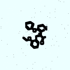 CCOc1ccccc1CN(C(C)=O)c1cnccc1Oc1ccccc1